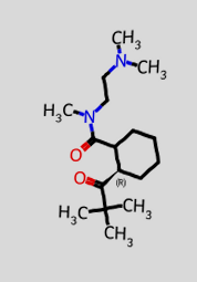 CN(C)CCN(C)C(=O)C1CCCC[C@H]1C(=O)C(C)(C)C